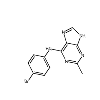 Cc1nc(Nc2ccc(Br)cc2)c2nc[nH]c2n1